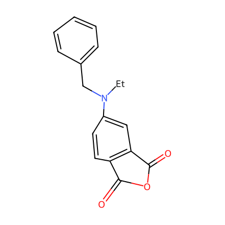 CCN(Cc1ccccc1)c1ccc2c(c1)C(=O)OC2=O